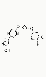 Oc1cc(-c2cnc(O[C@H]3C[C@@H](Oc4ccc(F)c(Cl)c4)C3)cn2)on1